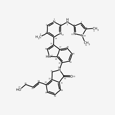 Cc1cnc(Nc2cc(C)n(C)n2)nc1-c1c[nH]c2c(N3Cc4c(C=CCO)cccc4C3=O)cccc12